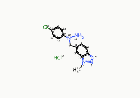 Cl.Cn1nnc2ccc(CN(N)c3ccc(Cl)cc3)cc21